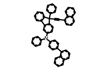 C(#CC1(c2ccccc2)c2ccccc2-c2cc(N(c3ccccc3)c3ccc(-c4cccc5ccccc45)cc3)ccc21)c1cccc2ccccc12